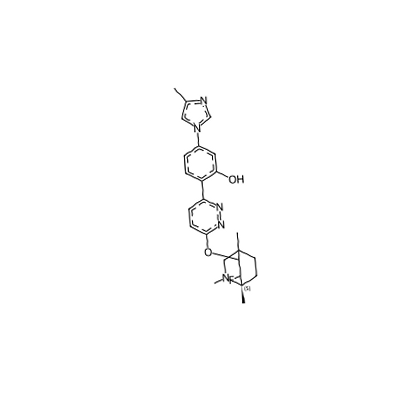 Cc1cn(-c2ccc(-c3ccc(OC4C(F)[C@]5(C)CCC4(C)CN5C)nn3)c(O)c2)cn1